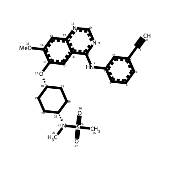 C#Cc1cccc(Nc2ncnc3cc(OC)c(O[C@H]4CC[C@@H](N(C)S(C)(=O)=O)CC4)cc23)c1